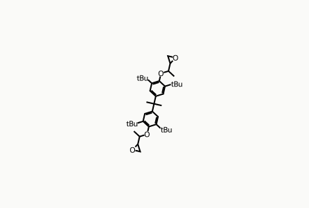 CC(Oc1c(C(C)(C)C)cc(C(C)(C)c2cc(C(C)(C)C)c(OC(C)C3CO3)c(C(C)(C)C)c2)cc1C(C)(C)C)C1CO1